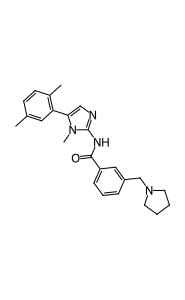 Cc1ccc(C)c(-c2cnc(NC(=O)c3cccc(CN4CCCC4)c3)n2C)c1